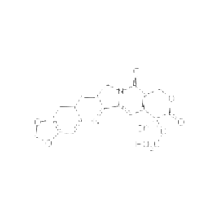 CC[C@@]1(OC(=O)O)C(=O)OCc2c1cc1n(c2=O)Cc2cc3cc4c(cc3nc2-1)OCO4